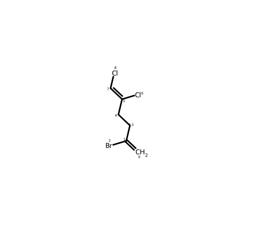 C=C(Br)[CH]CC(Cl)=CCl